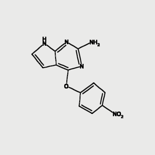 Nc1nc(Oc2ccc([N+](=O)[O-])cc2)c2cc[nH]c2n1